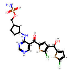 NS(=O)(=O)OC[C@@H]1CC[C@H](Nc2ncncc2C(=O)c2cc(C(O)c3ccc(Cl)s3)c(Cl)s2)C1